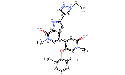 Cc1cccc(C)c1Oc1cn(C)c(=O)cc1-c1cn(C)c(=O)c2[nH]c(-c3cnn(CC#N)c3)cc12